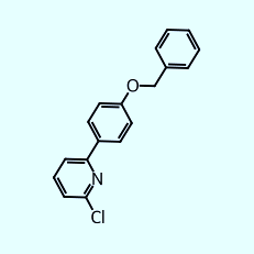 Clc1cccc(-c2ccc(OCc3ccccc3)cc2)n1